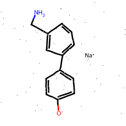 NCc1cccc(-c2ccc([O-])cc2)c1.[Na+]